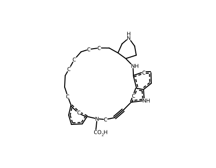 O=C(O)N1CC#Cc2cc3c(cccc3[nH]2)NC2CCNCC2CCCCCCCCCc2cccc1c2